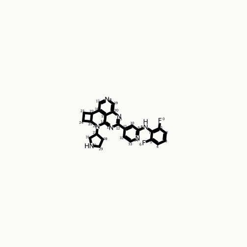 Fc1cccc(F)c1Nc1cc(-c2nc3c4c(cncc4n2)C2CCC2N3C2CCNC2)ccn1